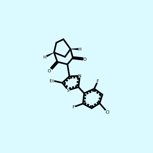 CCc1sc(-c2c(F)cc(Cl)cc2F)nc1C1C(=O)[C@@H]2CC[C@@H](C2)C1=O